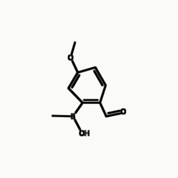 COc1ccc(C=O)c(B(C)O)c1